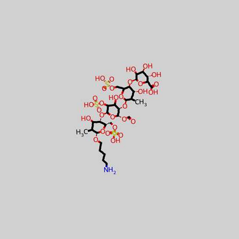 CC1C(O)[C@H](O[C@@H]2O[C@@H](OC=O)[C@@H](O[C@H]3OC(COS(=O)(=O)O)[C@@H](O[C@@H]4OC(C(=O)O)[C@@H](O)[C@H](O)C4O)[C@H](O)C3C)C(O)C2OS(=O)(=O)O)[C@H](COS(=O)(=O)O)O[C@@H]1OCCCCCN